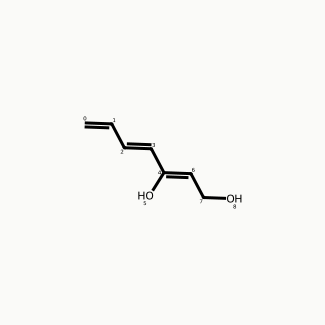 C=CC=CC(O)=CCO